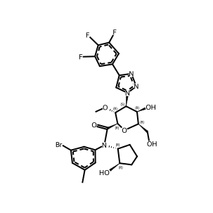 CO[C@@H]1[C@@H](n2cc(-c3cc(F)c(F)c(F)c3)nn2)[C@@H](O)[C@@H](CO)O[C@H]1C(=O)N(c1cc(C)cc(Br)c1)[C@@H]1CCC[C@H]1O